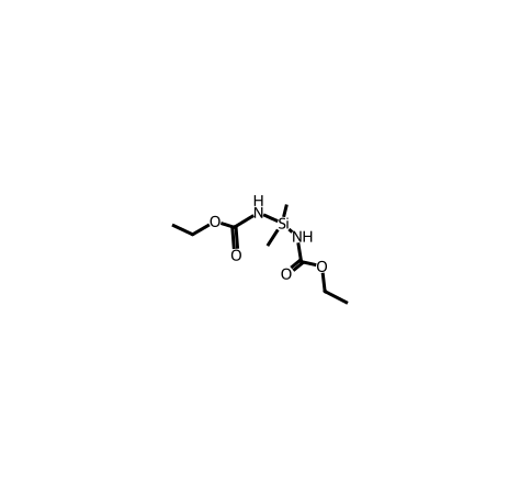 CCOC(=O)N[Si](C)(C)NC(=O)OCC